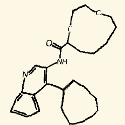 O=C(Nc1cnc2ccccc2c1C1CCCCCCC1)C1CCCCCCCCC1